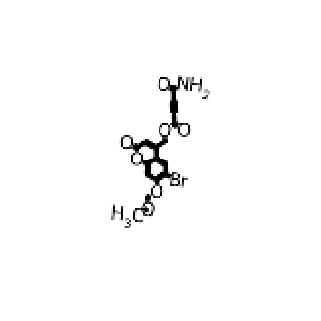 COCOc1cc2oc(=O)cc(COC(=O)C#CC(N)=O)c2cc1Br